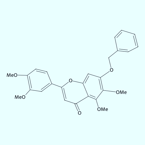 COc1ccc(-c2cc(=O)c3c(OC)c(OC)c(OCc4ccccc4)cc3o2)cc1OC